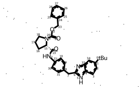 CC(C)(C)c1ccc2[nH]c(Cc3ccc(NC(=O)[C@@H]4CCCN4C(=O)OCc4ccccc4)cc3)nc2c1